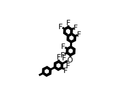 Cc1ccc(-c2cc(F)c(C(F)(F)Oc3ccc(-c4cc(F)c5c(F)c(F)c(F)cc5c4)c(F)c3F)c(F)c2)cc1